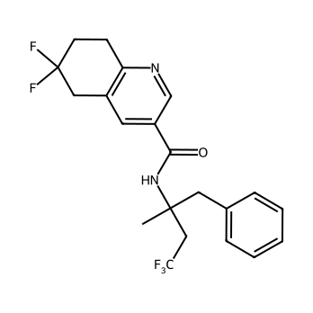 CC(Cc1ccccc1)(CC(F)(F)F)NC(=O)c1cnc2c(c1)CC(F)(F)CC2